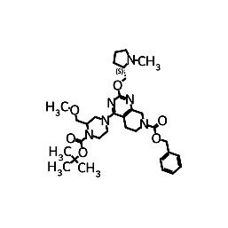 COCC1CN(c2nc(OC[C@@H]3CCCN3C)nc3c2CCN(C(=O)OCc2ccccc2)C3)CCN1C(=O)OC(C)(C)C